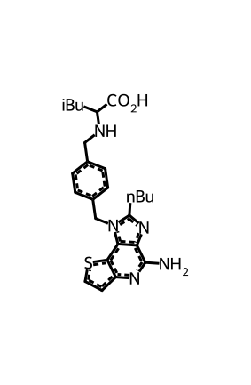 CCCCc1nc2c(N)nc3ccsc3c2n1Cc1ccc(CNC(C(=O)O)C(C)CC)cc1